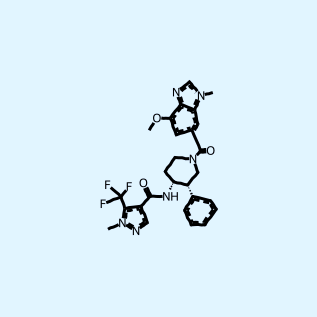 COc1cc(C(=O)N2CC[C@@H](NC(=O)c3cnn(C)c3C(F)(F)F)[C@@H](c3ccccc3)C2)cc2c1ncn2C